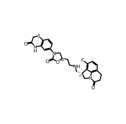 O=C1CSc2ccc(N3C[C@@H](CCNC[C@H]4CN5C(=O)CCc6ccc(F)c4c65)OC3=O)cc2N1